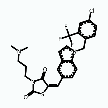 CN(C)CCCN1C(=O)SC(=Cc2ccc3c(ccn3Cc3ccc(Cl)cc3C(F)(F)F)c2)C1=O